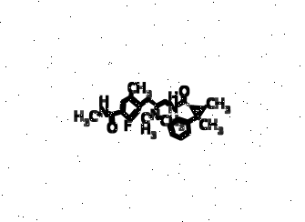 CNC(=O)c1cc(C)c(C[C@@H](CNC(=O)[C@@H]2[C@H](C)[C@@]2(C)c2ccccc2)N(C)C)cc1F